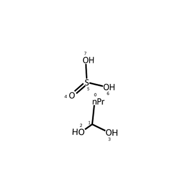 CCCC(O)O.O=S(O)O